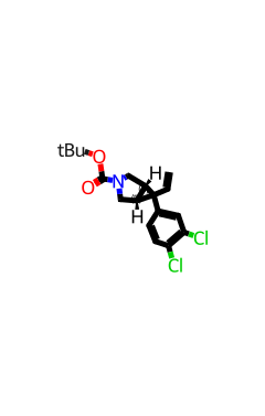 C=CC1(c2ccc(Cl)c(Cl)c2)[C@@H]2CN(C(=O)OC(C)(C)C)C[C@@H]21